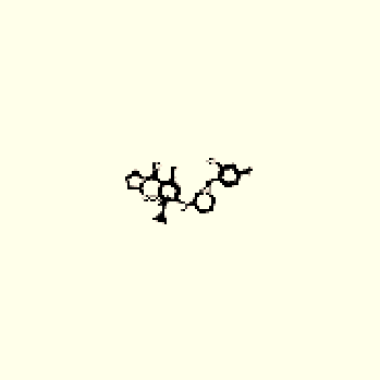 O=C(O)C1CCCN1C(=O)c1cc(C2CC2)c(OC2CCCN(Cc3ccc(F)cc3Cl)C2)cc1F